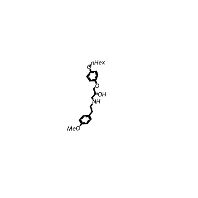 CCCCCCOc1ccc(OC[C@@H](O)CNCCc2ccc(OC)cc2)cc1